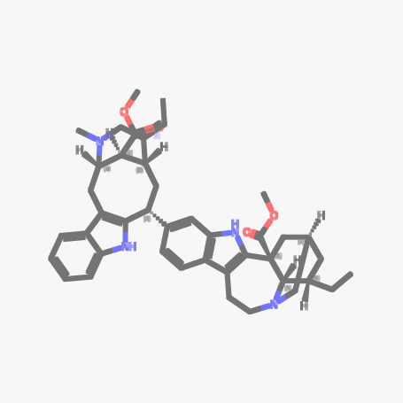 C/C=C1\CN(C)[C@H]2Cc3c([nH]c4ccccc34)[C@@H](c3ccc4c5c([nH]c4c3)[C@]3(C(=O)OC)C[C@H]4C[C@H](CC)[C@@H]3N(CC5)C4)C[C@@H]1[C@@H]2C(=O)OC